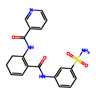 NS(=O)(=O)c1cccc(NC(=O)C2=C(NC(=O)c3cccnc3)CCC=C2)c1